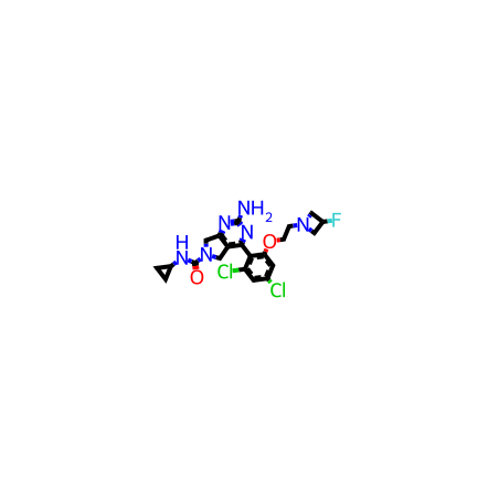 Nc1nc2c(c(-c3c(Cl)cc(Cl)cc3OCCN3CC(F)C3)n1)CN(C(=O)NC1CC1)C2